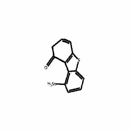 O=C1CC=Cc2sc3ccc[c]([SnH3])c3c21